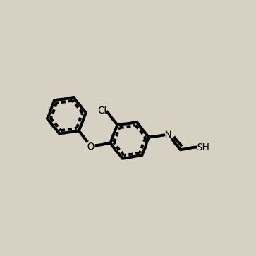 SC=Nc1ccc(Oc2ccccc2)c(Cl)c1